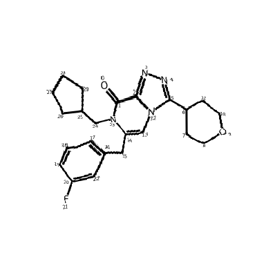 O=c1c2nnc(C3CCOCC3)n2cc(Cc2cccc(F)c2)n1CC1CCCC1